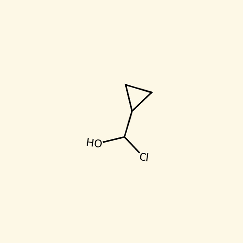 OC(Cl)C1CC1